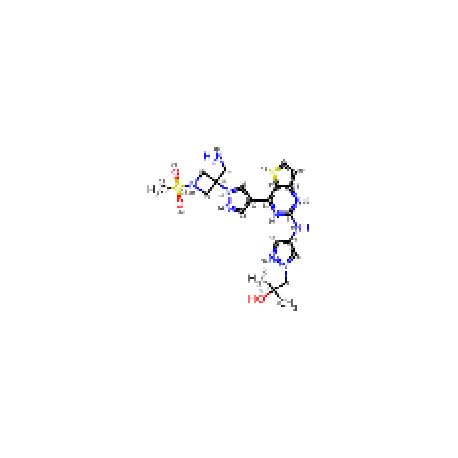 CC(C)(O)Cn1cc(Nc2nc(-c3cnn(C4(CN)CN(S(C)(=O)=O)C4)c3)c3sccc3n2)cn1